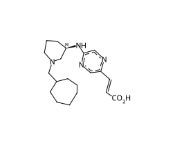 O=C(O)C=Cc1cnc(N[C@@H]2CCCN(CC3CCCCCC3)C2)cn1